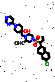 C=CC(c1ccc2cc(Cl)ccc2c1)S(=O)(=O)N1CCN(CC2(O)CCN(c3ccncn3)CC2)C(C=O)C1